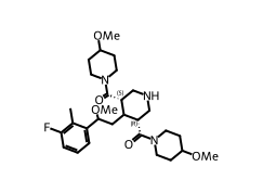 COC1CCN(C(=O)[C@H]2CNC[C@@H](C(=O)N3CCC(OC)CC3)C2CC(OC)c2cccc(F)c2C)CC1